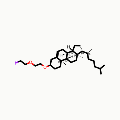 CC(C)CCC[C@@H](C)[C@H]1CC[C@H]2[C@@H]3CC=C4CC(OCCOCCI)CC[C@]4(C)[C@H]3CC[C@]12C